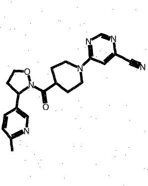 Cc1ccc(C2CCON2C(=O)C2CCN(c3cc(C#N)ncn3)CC2)cn1